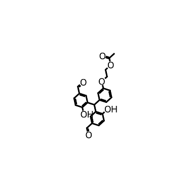 CC(=O)OCCOc1cccc(C(c2cc(C=O)ccc2O)c2cc(C=O)ccc2O)c1